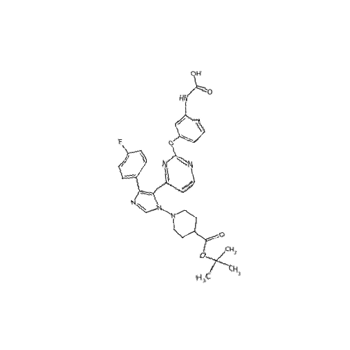 CC(C)(C)OC(=O)C1CCN(n2cnc(-c3ccc(F)cc3)c2-c2ccnc(Oc3cccc(NC(=O)O)c3)n2)CC1